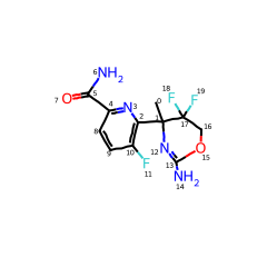 CC1(c2nc(C(N)=O)ccc2F)N=C(N)OCC1(F)F